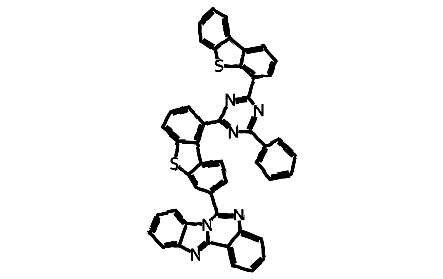 c1ccc(-c2nc(-c3cccc4c3sc3ccccc34)nc(-c3cccc4sc5cc(-c6nc7ccccc7c7nc8ccccc8n67)ccc5c34)n2)cc1